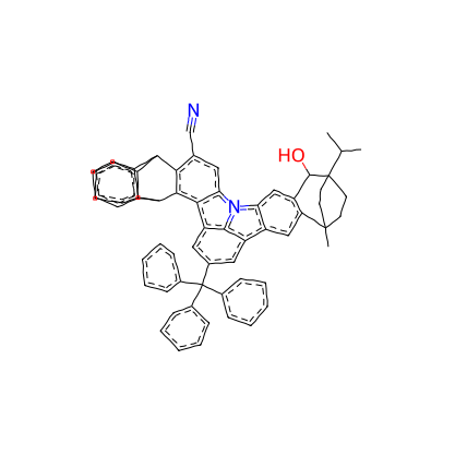 CC(C)C12CCC(C)(CC1)c1cc3c4cc(C(c5ccccc5)(c5ccccc5)c5ccccc5)cc5c6c7c(c(C#N)cc6n(c3cc1C2O)c45)C1c2ccccc2C7c2ccccc21